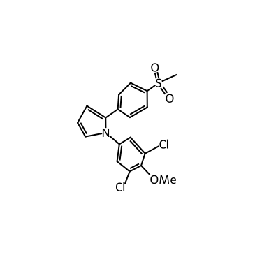 COc1c(Cl)cc(-n2cccc2-c2ccc(S(C)(=O)=O)cc2)cc1Cl